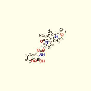 CC(CC(C)(C)N1CCO[C@@H](C)C1)C(C#N)C(=O)N1C2CCC1(COC(=O)N[C@@H](Cc1ccccc1)B(O)O)CC2